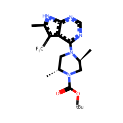 Cc1[nH]c2ncnc(N3C[C@@H](C)N(C(=O)OC(C)(C)C)C[C@@H]3C)c2c1C(F)(F)F